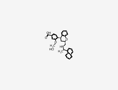 COc1cc(C(=O)O)ccc1[C@@H]1C[C@H](CNC(C)c2cccc3ccccc23)Oc2ccccc21.Cl